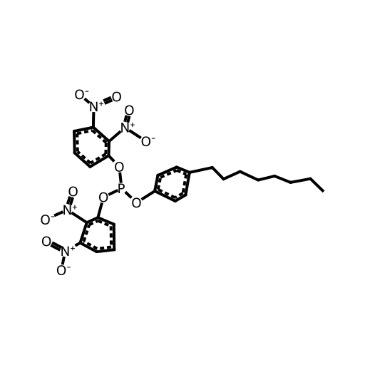 CCCCCCCCc1ccc(OP(Oc2cccc([N+](=O)[O-])c2[N+](=O)[O-])Oc2cccc([N+](=O)[O-])c2[N+](=O)[O-])cc1